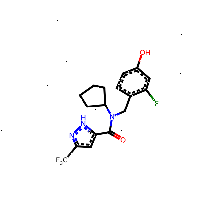 O=C(c1cc(C(F)(F)F)n[nH]1)N(Cc1ccc(O)cc1F)C1CCCC1